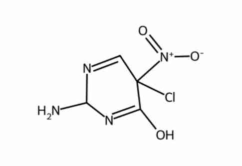 NC1N=CC(Cl)([N+](=O)[O-])C(O)=N1